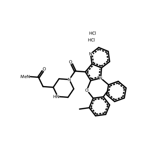 CNC(=O)CC1CN(C(=O)c2c(Oc3c(C)cccc3C)n(-c3ccccc3)c3cccnc23)CCN1.Cl.Cl